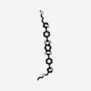 CCCOCc1csc(-c2ccc(-c3nc4cc5sc(-c6ccc(-c7cc(CCCOC)cs7)cc6)nc5cc4s3)cc2)c1